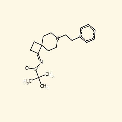 CC(C)(C)[S+]([O-])N=C1CCC12CCN(CCc1ccccc1)CC2